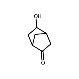 O=C1CC2CC1CC2O